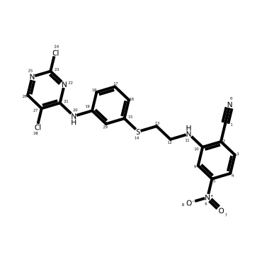 N#Cc1ccc([N+](=O)[O-])cc1NCCSc1cccc(Nc2nc(Cl)ncc2Cl)c1